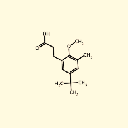 COc1c(C)cc(C(C)(C)C)cc1CCC(=O)O